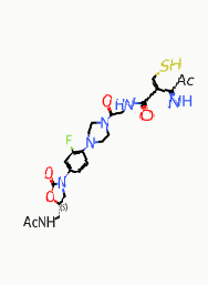 CC(=O)NC[C@H]1CN(c2ccc(N3CCN(C(=O)CNC(=O)C(CS)C(=N)C(C)=O)CC3)c(F)c2)C(=O)O1